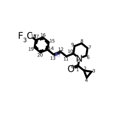 O=C(C1CC1)N1CCCCC1C/C=C/c1ccc(C(F)(F)F)cc1